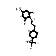 Oc1cc(Cl)c(OCCc2ccc(C(F)(F)F)cc2)c(Cl)c1